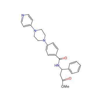 COC(=O)CC(NC(=O)c1ccc(N2CCN(c3ccncc3)CC2)cc1)c1ccccc1